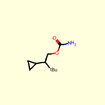 CC(C)(C)C(COC(N)=O)C1CC1